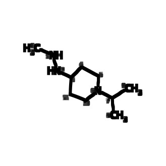 CNNC1CCN(C(C)C)CC1